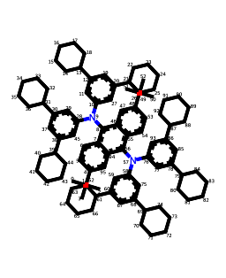 CC(C)(C)c1ccc2c(N(c3cc(C4CCCCC4)cc(C4CCCCC4)c3)c3cc(C4CCCCC4)cc(C4CCCCC4)c3)c3cc(C(C)(C)C)ccc3c(N(c3cc(C4CCCCC4)cc(C4CCCCC4)c3)c3cc(C4CCCCC4)cc(C4CCCCC4)c3)c2c1